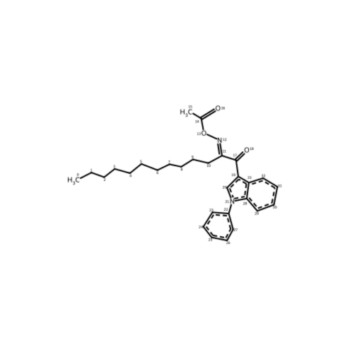 CCCCCCCCCCC/C(=N\OC(C)=O)C(=O)c1cn(-c2ccccc2)c2ccccc12